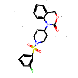 O=C1OCc2ccccc2N1C1CCN(S(=O)(=O)c2cccc(Cl)c2)CC1